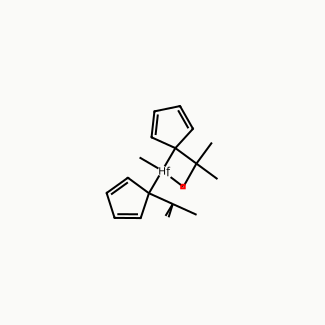 CC(C)(C)[C]1([Hf]([CH3])([CH3])[C]2(C(C)(C)C)C=CC=C2)C=CC=C1